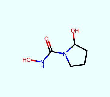 O=C(NO)N1CCCC1O